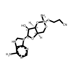 B[PH]1(OCCC#N)OC[C@H]2O[C@@H](N3CNc4c(N)ncnc43)[C@@H](O)[C@H]2O1